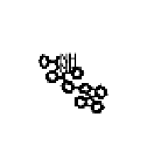 N=C/C(C1=CC=CCC1)=C1\NC(c2ccccc2)=C(c2cccc(-c3ccc4c(c3)C3(c5ccccc5-c5ccccc53)c3ccccc3-4)c2)c2ccccc21